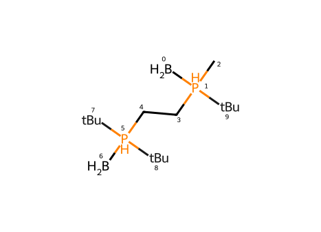 B[PH](C)(CC[PH](B)(C(C)(C)C)C(C)(C)C)C(C)(C)C